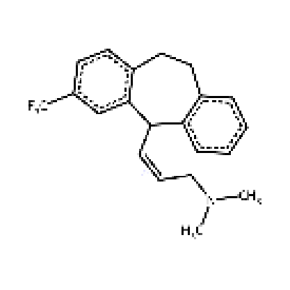 CN(C)C/C=C\C1c2ccccc2CCc2ccc(C(F)(F)F)cc21